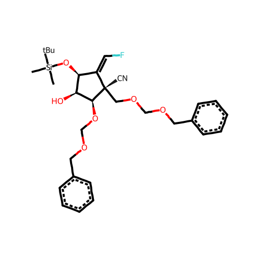 CC(C)(C)[Si](C)(C)O[C@H]1/C(=C/F)[C@](C#N)(COCOCc2ccccc2)[C@@H](OCOCc2ccccc2)[C@H]1O